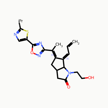 C=C/C=C1\C(=C(/C)c2noc(-c3cnc(C(C)C)s3)n2)CC2CC(=O)N(CCO)C12